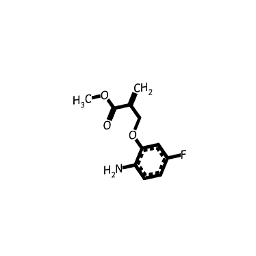 C=C(COc1cc(F)ccc1N)C(=O)OC